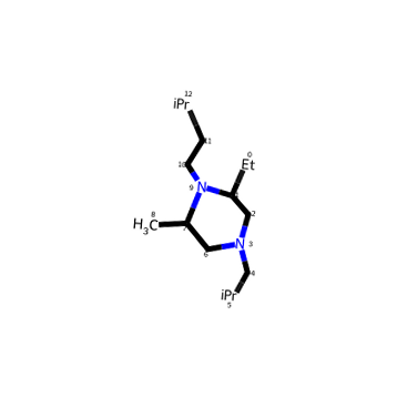 CCC1CN(CC(C)C)CC(C)N1CCC(C)C